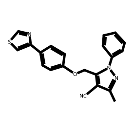 Cc1nn(-c2ccccc2)c(COc2ccc(-c3cscn3)cc2)c1C#N